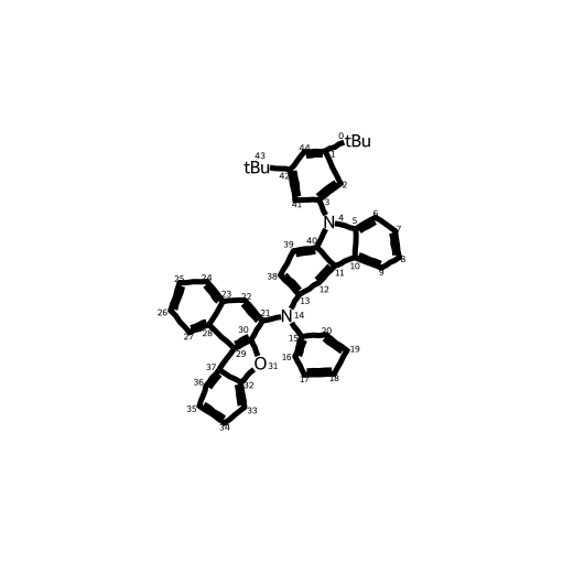 CC(C)(C)c1cc(-n2c3ccccc3c3cc(N(c4ccccc4)c4cc5ccccc5c5c4oc4ccccc45)ccc32)cc(C(C)(C)C)c1